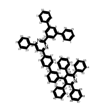 c1ccc(-c2cc(-c3ccccc3)cc(-c3nc(-c4ccccc4)cc(-c4ccc(-c5cccc(-c6c(-c7ccccc7)c(-c7ccccc7)nc(-c7ccccc7)c6-c6ccccc6)c5)cc4)n3)c2)cc1